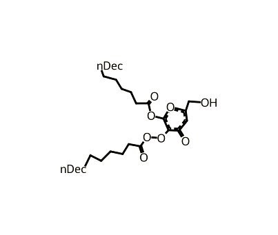 CCCCCCCCCCCCCCCC(=O)OOc1c(OC(=O)CCCCCCCCCCCCCCC)oc(CO)cc1=O